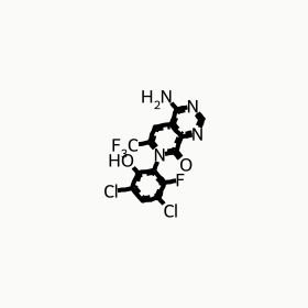 Nc1ncnc2c(=O)n(-c3c(O)c(Cl)cc(Cl)c3F)c(C(F)(F)F)cc12